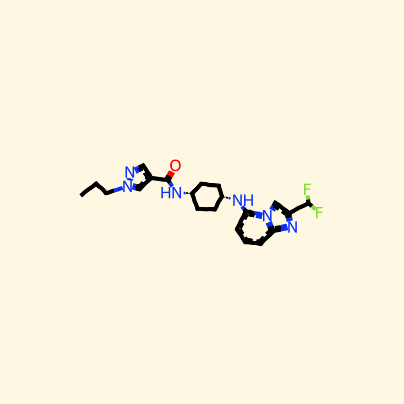 CCCn1cc(C(=O)N[C@H]2CC[C@@H](Nc3cccc4nc(C(F)F)cn34)CC2)cn1